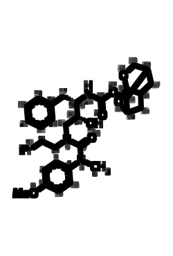 COc1ccc(N(C)C(=O)N(CCC(C)C)C[C@@H](O)[C@H](Cc2ccccc2)NC(=O)OC2C3COC4OC2CC4C3)cc1